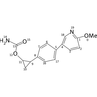 COc1ccc(-c2ccc(C3CC3OC(N)=O)cc2)cn1